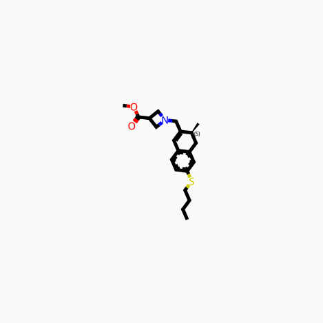 CCCCSc1ccc2c(c1)C[C@H](C)C(CN1CC(C(=O)OC)C1)=C2